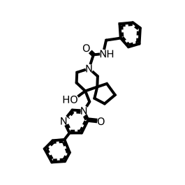 O=C(NCc1ccccc1)N1CCC(O)(Cn2cnc(-c3ccccc3)cc2=O)C2(CCCC2)C1